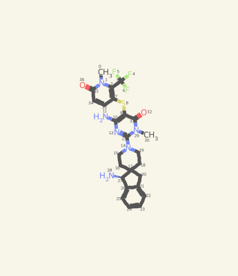 Cn1c(C(F)(F)F)c(Sc2c(N)nc(N3CCC4(CC3)Cc3ccccc3[C@H]4N)n(C)c2=O)ccc1=O